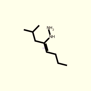 CCC/C=C(/CC(C)C)NN